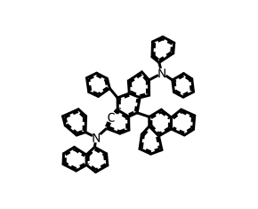 c1ccc(-c2c3cc(N(c4ccccc4)c4cccc5ccccc45)ccc3c(-c3cc4ccccc4c4ccccc34)c3cc(N(c4ccccc4)c4ccccc4)ccc23)cc1